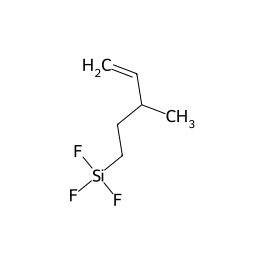 C=CC(C)CC[Si](F)(F)F